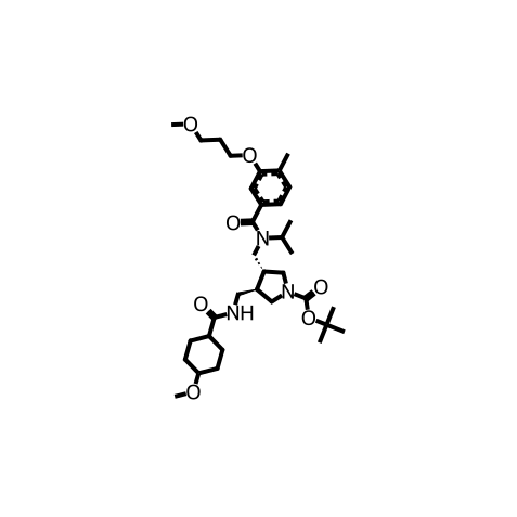 COCCCOc1cc(C(=O)N(C[C@@H]2CN(C(=O)OC(C)(C)C)C[C@H]2CNC(=O)C2CCC(OC)CC2)C(C)C)ccc1C